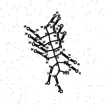 CCC(N=C=O)C(N=C=O)(N=C=O)C(N=C=O)(N=C=O)C(N=C=O)(N=C=O)C(N=C=O)(N=C=O)C(N=C=O)(N=C=O)N=C=O